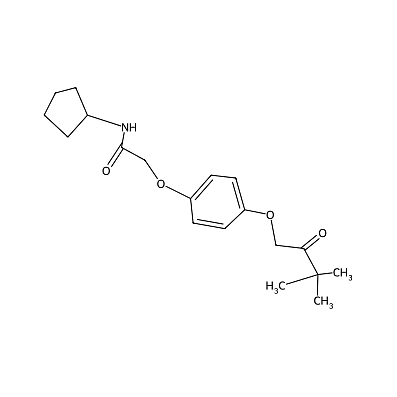 CC(C)(C)C(=O)COc1ccc(OCC(=O)NC2CCCC2)cc1